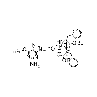 CCCOc1nc(N)nc2c1ncn2CCOCP(=O)(N[C@@H](Cc1ccccc1)C(=O)OCC(C)C)N[C@@H](Cc1ccccc1)C(=O)OCC(C)C